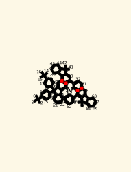 CC(C)(C)c1ccc(C2(c3ccc(C(C)(C)C)cc3)c3ccccc3-c3c(N(c4ccccc4-c4ccc5c(c4)C(C)(C)c4ccccc4-5)c4ccccc4-c4cccc5c4C(C)(C)c4ccccc4-5)cccc32)cc1